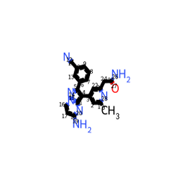 Cc1cc(-c2c(-c3cccc(C#N)c3)nn3ccc(N)nc23)cc(CC(N)=O)n1